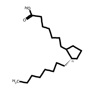 CCCCCCCC[C@H]1CCCC1CCCCCCC(=O)O